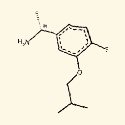 CC(C)COc1cc([C@@H](C)N)ccc1F